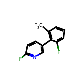 Fc1ccc(-c2c(F)cccc2C(F)(F)F)cn1